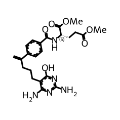 C=C(CCCc1c(N)nc(N)nc1O)c1ccc(C(=O)N[C@@H](CCC(=O)OC)C(=O)OC)cc1